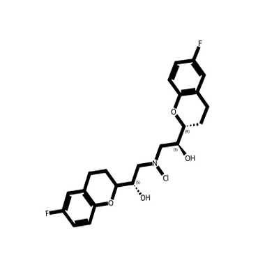 O[C@@H](CN(Cl)C[C@H](O)[C@H]1CCc2cc(F)ccc2O1)C1CCc2cc(F)ccc2O1